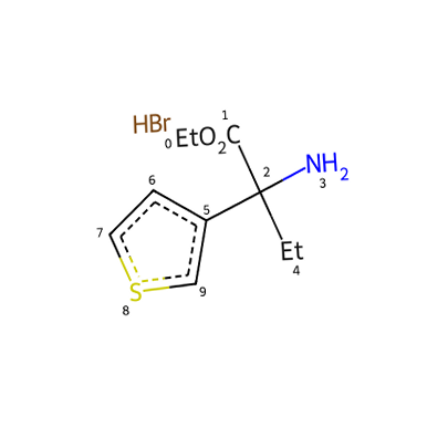 Br.CCOC(=O)C(N)(CC)c1ccsc1